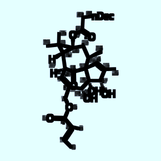 C/C=C(\C)C(=O)OCC1=C[C@@H]2C(=O)[C@]3(C=C(C)[C@H](O)[C@@]3(O)[C@@H]1O)[C@H](C)C[C@]1(OC(=O)CCCCCCCCCCC)[C@H]2C1(C)C